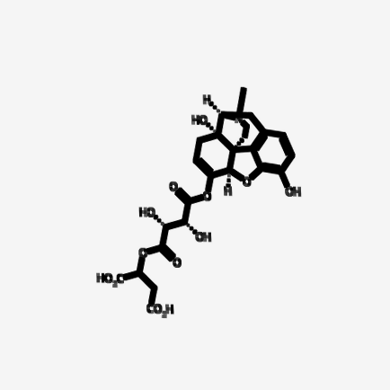 CN1CC[C@]23c4c5ccc(O)c4O[C@H]2C(OC(=O)[C@H](O)[C@@H](O)C(=O)OC(CC(=O)O)C(=O)O)=CC[C@@]3(O)[C@H]1C5